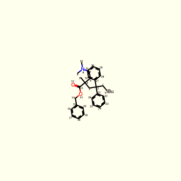 CCC(C)CC(CC(C)(CCN(C)C)C(=O)OCc1ccccc1)(c1ccccc1)c1ccccc1